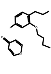 CCCCOc1cc(I)ccc1CCC.O=c1ccocc1